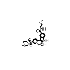 COCCNC(=O)c1ccc2[nH]c(O)c(-c3ccc(S(=O)(=O)N4CCOCC4)cn3)c2c1.Cl